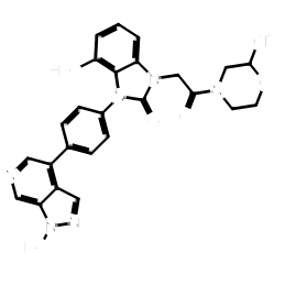 Cc1cccc2c1n(-c1ccc(-c3cncc4c3cnn4C)cc1)c(=O)n2CC(=O)N1CCOC(C(F)(F)F)C1